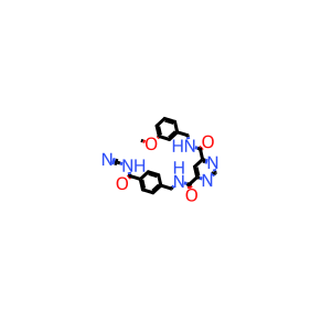 COc1cccc(CNC(=O)c2cc(C(=O)NCc3ccc(C(=O)NC#N)cc3)ncn2)c1